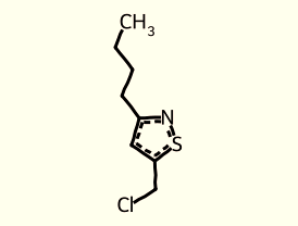 CCCCc1cc(CCl)sn1